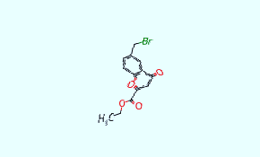 CCOC(=O)c1cc(=O)c2cc(CBr)ccc2o1